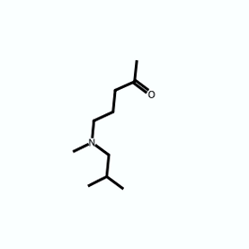 CC(=O)CCCN(C)CC(C)C